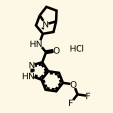 CN1C2CCC1CC(NC(=O)c1n[nH]c3ccc(OC(F)F)cc13)C2.Cl